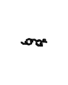 CCN1CCN(Cc2ccnc(OC)c2)CC1